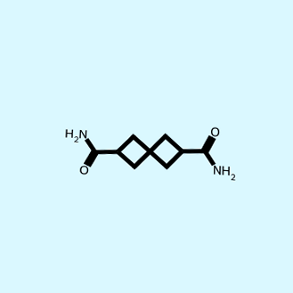 NC(=O)C1CC2(C1)CC(C(N)=O)C2